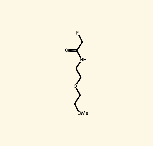 COCCOCCNC(=O)CF